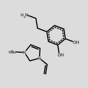 C=CN1C=CN(CCCC)C1.NCCc1ccc(O)c(O)c1